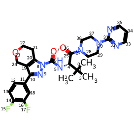 CC(C)(C)[C@H](NC(=O)n1nc(-c2ccc(F)c(F)c2)c2c1CCOC2)C(=O)N1CCN(c2ncccn2)CC1